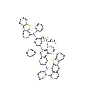 CC1(C)c2cc(N(c3ccccc3)c3cccc4c3sc3ccccc34)ccc2-c2c(-c3ccccc3)c3ccc(N(c4ccccc4-c4ccccc4)c4cccc5c4sc4ccccc45)cc3c3cccc1c23